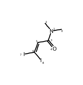 CN(C)C(=O)C=C(I)I